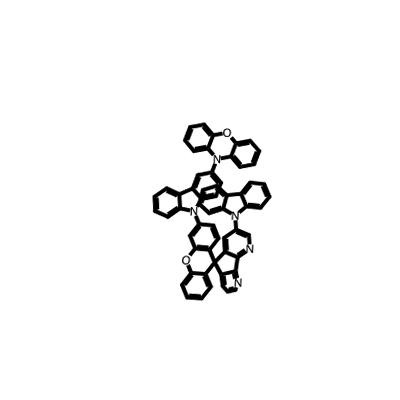 c1ccc2c(c1)Oc1ccccc1N2c1ccc2c(c1)c1ccccc1n2-c1ccc2c(c1)Oc1ccccc1C21c2cccnc2-c2ncc(-n3c4ccccc4c4ccccc43)cc21